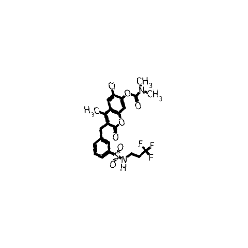 Cc1c(Cc2cccc(S(=O)(=O)NCCC(F)(F)F)c2)c(=O)oc2cc(OC(=O)N(C)C)c(Cl)cc12